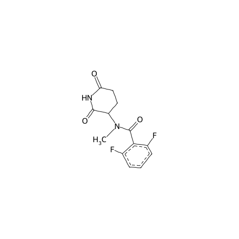 CN(C(=O)c1c(F)cccc1F)C1CCC(=O)NC1=O